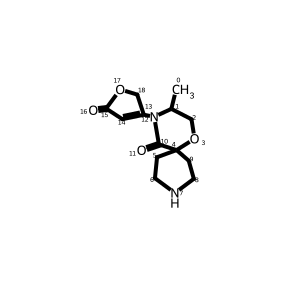 CC1COC2(CCNCC2)C(=O)N1C1=CC(=O)OC1